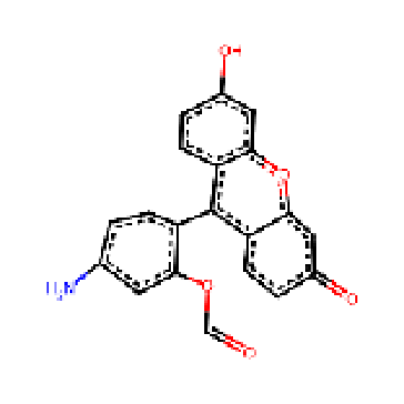 Nc1ccc(-c2c3ccc(=O)cc-3oc3cc(O)ccc23)c(OC=O)c1